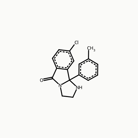 Cc1cccc(C23NCCN2C(=O)c2ccc(Cl)cc23)c1